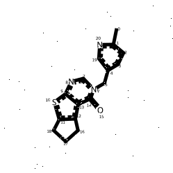 Cc1ccc(Cn2cnc3sc4c(c3c2=O)CCC4)cn1